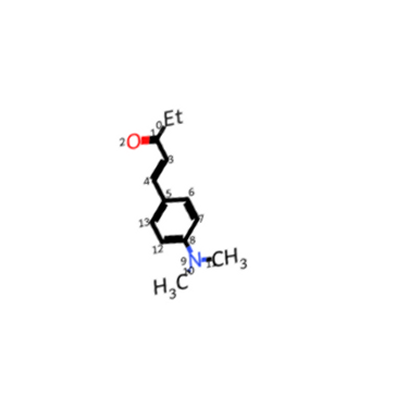 CCC(=O)/C=C/c1ccc(N(C)C)cc1